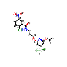 CC(C)Oc1cc(C(F)(F)F)cc(OCCCNC(=O)c2cc([N+](=O)[O-])ccc2Cl)n1